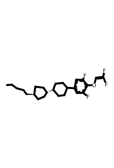 CCCCC[C@H]1CC[C@H](C2CCC(c3cc(F)c(OC=C(F)F)c(F)c3)CC2)CC1